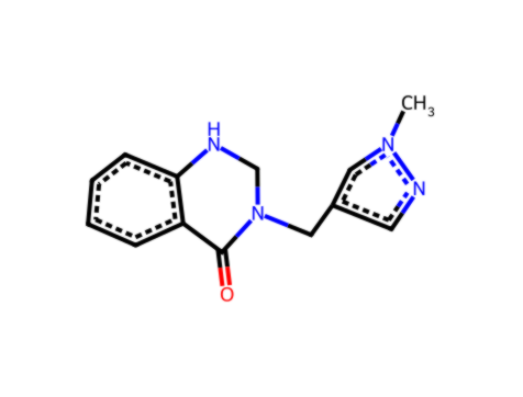 Cn1cc(CN2CNc3ccccc3C2=O)cn1